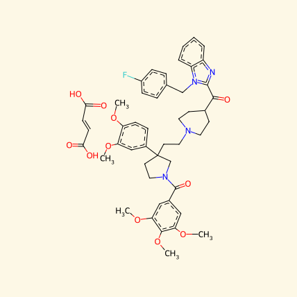 COc1ccc(C2(CCN3CCC(C(=O)c4nc5ccccc5n4Cc4ccc(F)cc4)CC3)CCN(C(=O)c3cc(OC)c(OC)c(OC)c3)C2)cc1OC.O=C(O)C=CC(=O)O